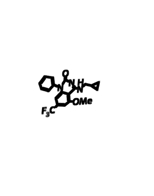 COc1cc(C(F)(F)F)cc2c1c(NCC1CC1)nc(=O)n2-c1ccccc1